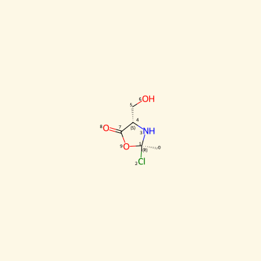 C[C@@]1(Cl)N[C@@H](CO)C(=O)O1